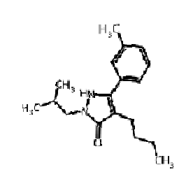 CCCCc1c(-c2cccc(C)c2)[nH]n(CC(C)C)c1=O